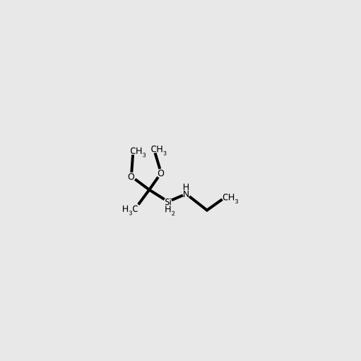 CCN[SiH2]C(C)(OC)OC